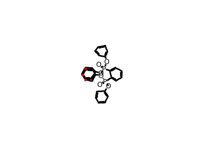 O=P(Oc1ccccc1)(Oc1ccccc1)c1ccccc1P(=O)(Oc1ccccc1)Oc1ccccc1